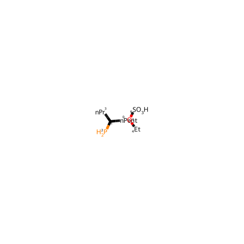 CCCCCC(P)CCC.CCOS(=O)(=O)O